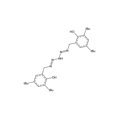 CC(C)(C)c1cc(C/N=[N]/[AlH]/[N]=N/Cc2cc(C(C)(C)C)cc(C(C)(C)C)c2O)c(O)c(C(C)(C)C)c1